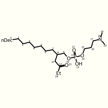 CCCCCCCCCCCCCCCCCC(COP(=O)(O)OCCCN(C)C)CC(=O)CC